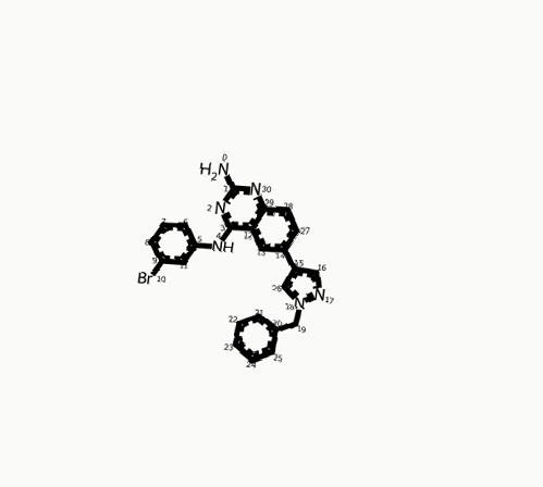 Nc1nc(Nc2cccc(Br)c2)c2cc(-c3cnn(Cc4ccccc4)c3)ccc2n1